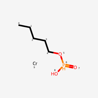 CCCCCO[PH](=O)O.[Cr]